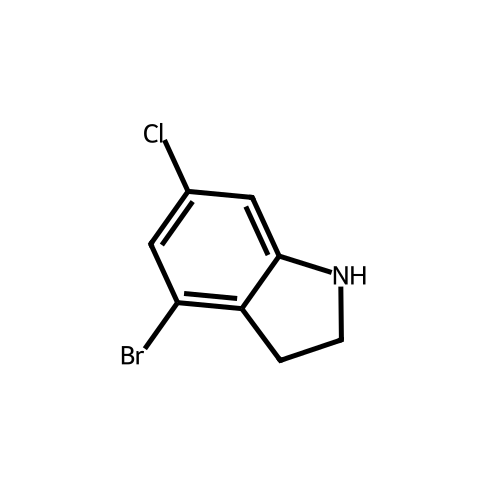 Clc1cc(Br)c2c(c1)NCC2